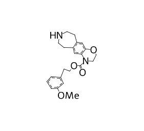 COc1cccc(CCOC(=O)N2CCOc3cc4c(cc32)CCNCC4)c1